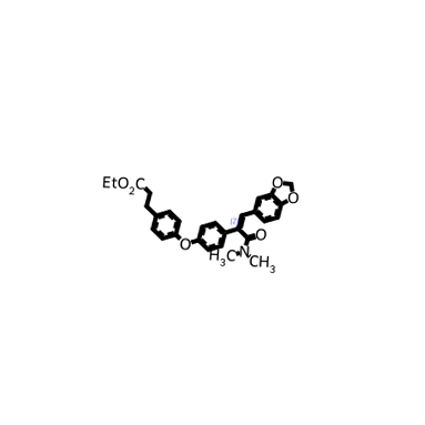 CCOC(=O)CCc1ccc(Oc2ccc(/C(=C/c3ccc4c(c3)OCO4)C(=O)N(C)C)cc2)cc1